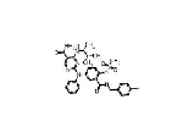 CC(C)[C@@H](C)Nc1nc(N(c2ccccc2)c2ccc(OS(C)(=O)=O)c(C(=O)NCc3ccc(F)cc3)c2)ncc1C(N)=O